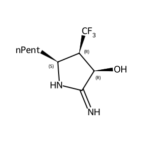 CCCCC[C@@H]1NC(=N)[C@H](O)[C@@H]1C(F)(F)F